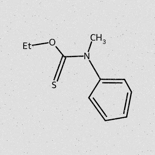 CCOC(=S)N(C)c1ccccc1